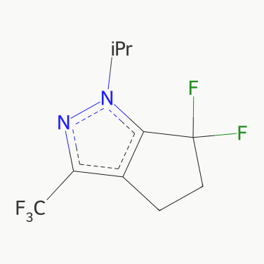 CC(C)n1nc(C(F)(F)F)c2c1C(F)(F)CC2